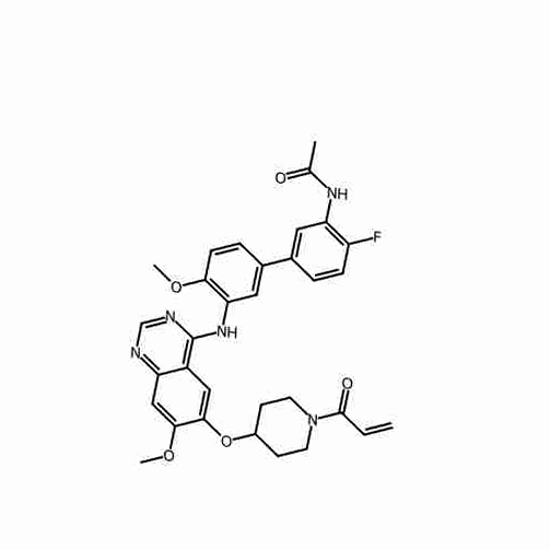 C=CC(=O)N1CCC(Oc2cc3c(Nc4cc(-c5ccc(F)c(NC(C)=O)c5)ccc4OC)ncnc3cc2OC)CC1